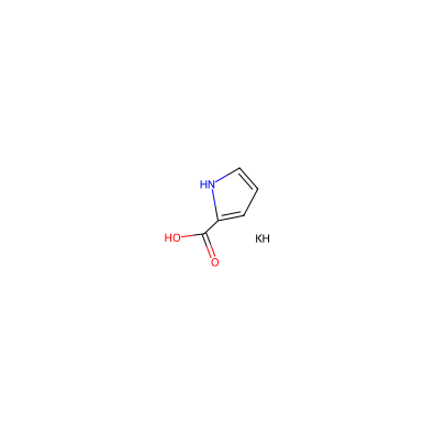 O=C(O)c1ccc[nH]1.[KH]